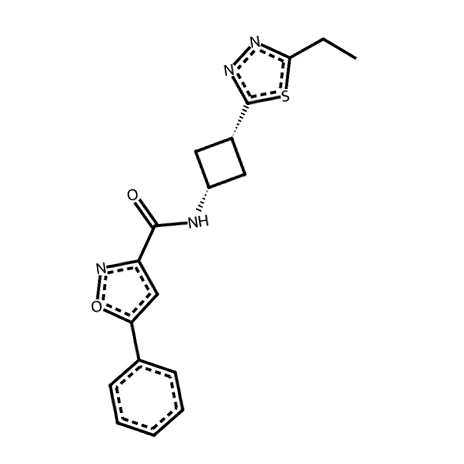 CCc1nnc([C@H]2C[C@@H](NC(=O)c3cc(-c4ccccc4)on3)C2)s1